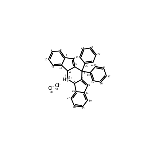 C1=C2[CH]([Hf+2][CH]3C(=Cc4ccccc43)C2(c2ccccc2)c2ccccc2)c2ccccc21.[Cl-].[Cl-]